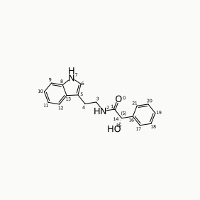 O=C(NCCc1c[nH]c2ccccc12)[C@@H](O)c1ccccc1